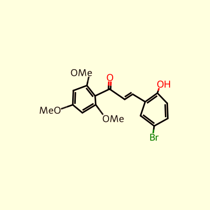 COc1cc(OC)c(C(=O)C=Cc2cc(Br)ccc2O)c(OC)c1